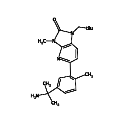 Cc1ccc(C(C)(C)N)cc1-c1ccc2c(n1)n(C)c(=O)n2CC(C)(C)C